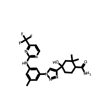 Cc1cc(Nc2nccc(C(F)(F)F)n2)cc(-n2cc(C3(O)CCC(C(N)=O)C(C)(C)C3)nn2)c1